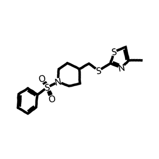 Cc1csc(SCC2CCN(S(=O)(=O)c3ccccc3)CC2)n1